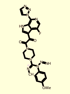 C/N=C(/N1CCN(C(=O)C(=O)c2c[nH]c3c(-n4ccnn4)ncc(F)c23)CC1)N(N=N)c1ccc(OC)cc1